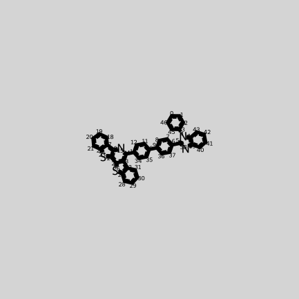 c1ccc(-n2c(-c3ccc(-c4ccc(-c5nc6c7ccccc7sc6c6sc7ccccc7c56)cc4)cc3)nc3ccccc32)cc1